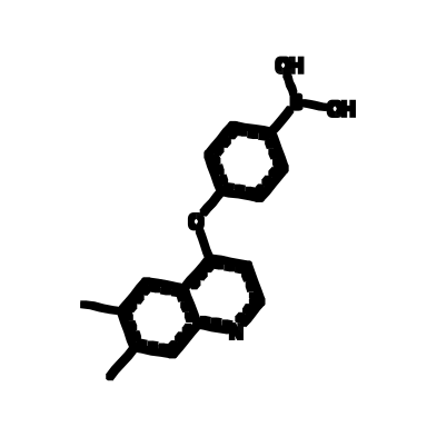 Cc1cc2nccc(Oc3ccc(B(O)O)cc3)c2cc1C